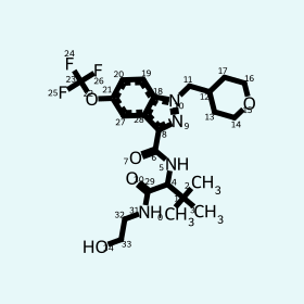 CC(C)(C)C(NC(=O)c1nn(CC2CCOCC2)c2ccc(OC(F)(F)F)cc12)C(=O)NCCO